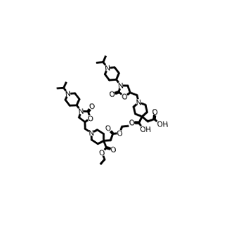 CC(C)N1CCC(N2CC(CN3CCC(CC(=O)O)(C(=O)O)CC3)OC2=O)CC1.CCOC(=O)CC1(C(=O)OCC)CCN(CC2CN(C3CCN(C(C)C)CC3)C(=O)O2)CC1